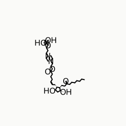 CCCCCCCC(=O)CC[C@@H]1[C@@H](C/C=C\CCCC(=O)OCCN2CCN(CCCON(O)O)CC2)[C@@H](O)C[C@H]1O